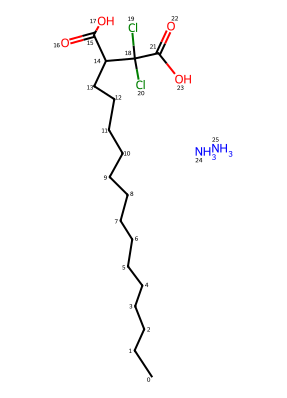 CCCCCCCCCCCCCCC(C(=O)O)C(Cl)(Cl)C(=O)O.N.N